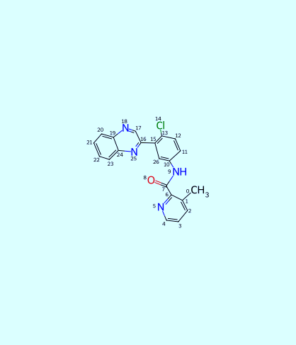 Cc1cccnc1C(=O)Nc1ccc(Cl)c(-c2cnc3ccccc3n2)c1